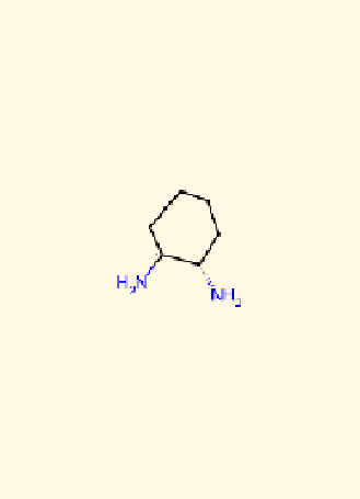 N[C]1CCCC[C@@H]1N